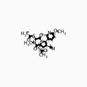 COc1ccc([C@H]2[C@@H](C#N)C[C@]3(SC(C)=O)C(=O)N(C)[C@@H](SC(C)=O)C(=O)N23)cn1